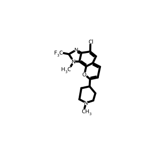 CN1CCC(C2=CC=c3cc(Cl)c4c(c3O2)N(C)C(C(F)(F)F)N=4)CC1